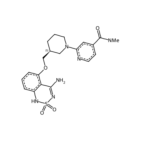 CNC(=O)c1ccnc(N2CCC[C@H](COc3cccc4c3C(N)=NS(=O)(=O)N4)C2)c1